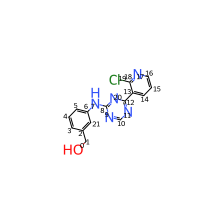 OCc1cccc(Nc2ncnc(-c3cccnc3Cl)n2)c1